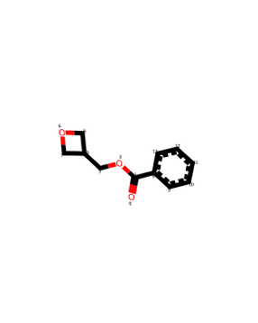 O=C(OCC1COC1)c1ccccc1